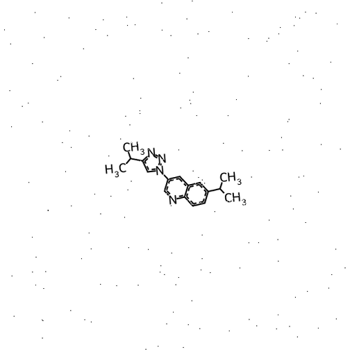 CC(C)c1ccc2ncc(-n3cc(C(C)C)nn3)cc2c1